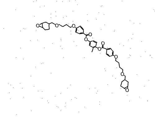 Cc1cc(OC(=O)c2ccc(OCCCCOCC3CCC4OC4C3)cc2)ccc1OC(=O)c1ccc(OCCCCOCC2CCC3OC3C2)cc1